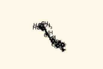 CC(C)(C)C1CN(CCNC(=O)CCCCc2cc(Cl)c(COC3(c4cnccc4-c4ccccc4OC4CC4)CC3)cc2Cl)CCN1C(=O)O